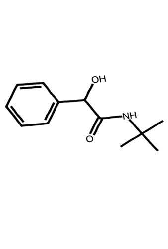 CC(C)(C)NC(=O)C(O)c1ccccc1